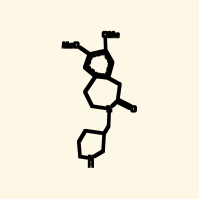 COc1cc2c(cc1OC)CC(=O)N(CC1CCCNC1)CC2